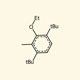 CCOc1c(C(C)(C)C)ccc(C(C)(C)C)c1C